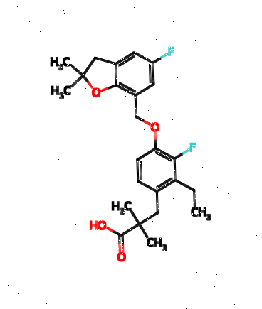 CCc1c(CC(C)(C)C(=O)O)ccc(OCc2cc(F)cc3c2OC(C)(C)C3)c1F